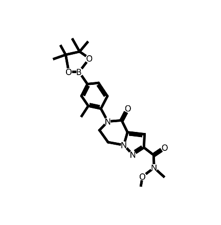 CON(C)C(=O)c1cc2n(n1)CCN(c1ccc(B3OC(C)(C)C(C)(C)O3)cc1C)C2=O